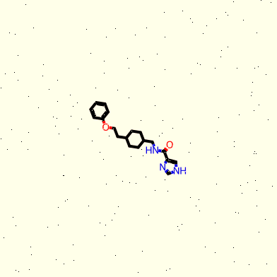 O=C(NCC1CCC(CCOc2ccccc2)CC1)c1c[nH]cn1